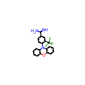 N=C(N)c1ccc(N2c3ccccc3Oc3ccccc32)c(C(F)(F)F)c1